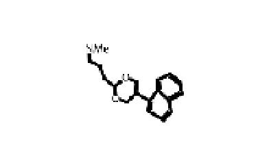 CNCCCC1OCC(c2cccc3ccccc23)CO1